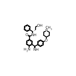 CN1CCC(Oc2ccc(C(=N)c3cc(C(=O)N[C@@H](CCO)c4ccccc4)ccc3N)cc2)CC1